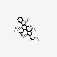 C=C1CC(/C=C\C)=C(C)C/1=c1\c(/C=C\C)c(C)c2c(c1=C)[SiH](C)c1ccccc1-2